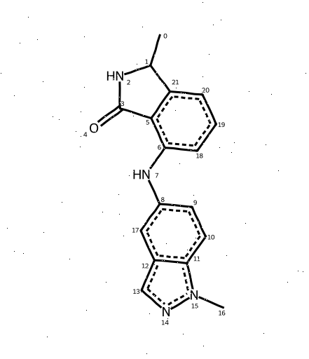 CC1NC(=O)c2c(Nc3ccc4c(cnn4C)c3)cccc21